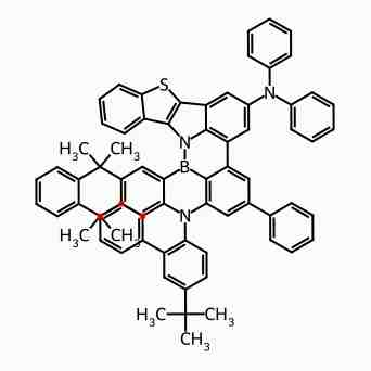 CC(C)(C)c1ccc(N2c3cc4c(cc3B3c5c(cc(-c6ccccc6)cc52)-c2cc(N(c5ccccc5)c5ccccc5)cc5c6sc7ccccc7c6n3c25)C(C)(C)c2ccccc2C4(C)C)c(-c2ccccc2)c1